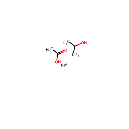 CC(=O)O.CC(C)O.[I-].[Na+]